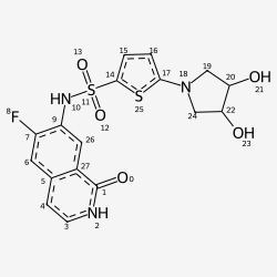 O=c1[nH]ccc2cc(F)c(NS(=O)(=O)c3ccc(N4CC(O)C(O)C4)s3)cc12